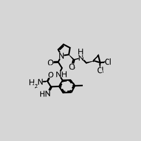 Cc1ccc(C(=N)C(N)=O)c(NCC(=O)N2C=CC[C@H]2C(=O)NC[C@H]2CC2(Cl)Cl)c1